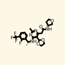 Cc1nc(CC(=O)N[C@H]2CCOC2)c(C2OCCO2)c(N[C@H](C)c2cccc(C(F)(F)F)c2F)n1